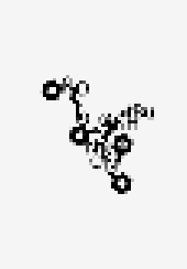 CN(C(=O)CCCOc1cccc2c1CN(CC(=O)NCC(C)(C)C)C(NC(=O)N(Cc1ccccc1)Cc1ccccc1)=N2)c1ccccc1